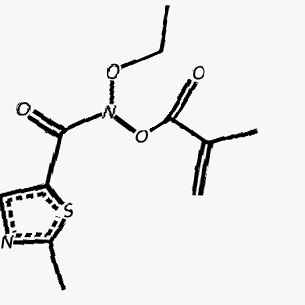 C=C(C)C(=O)ON(OCC)C(=O)c1cnc(C)s1